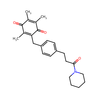 CC1=C(C)C(=O)C(Cc2ccc(CCC(=O)N3CCCCC3)cc2)=C(C)C1=O